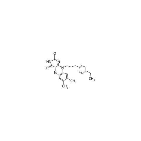 CCc1ccc(CCCn2c3nc(=O)[nH]c(=O)c-3nc3cc(C)c(C)cc32)cc1